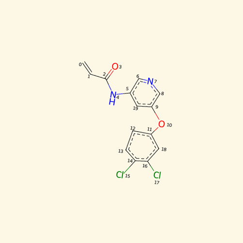 C=CC(=O)Nc1cncc(Oc2ccc(Cl)c(Cl)c2)c1